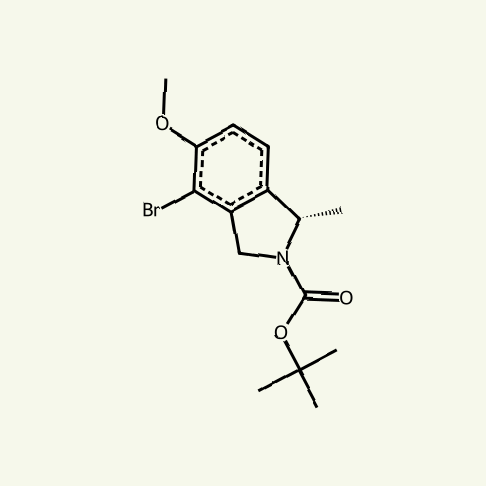 COc1ccc2c(c1Br)CN(C(=O)OC(C)(C)C)[C@H]2C